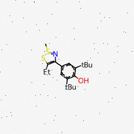 CCC1=C(c2cc(C(C)(C)C)c(O)c(C(C)(C)C)c2)N=S(C)S1